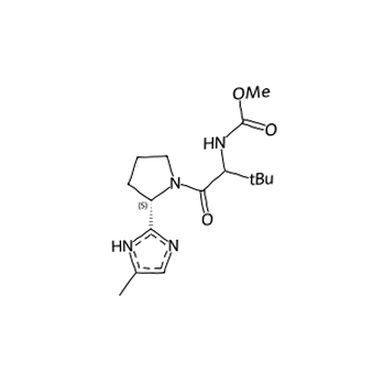 COC(=O)NC(C(=O)N1CCC[C@H]1c1ncc(C)[nH]1)C(C)(C)C